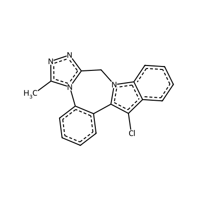 Cc1nnc2n1-c1ccccc1-c1c(Cl)c3ccccc3n1C2